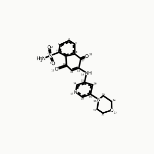 NS(=O)(=O)c1cccc2c1C(=O)C=C(Nc1cncc(N3CCOCC3)c1)C2=O